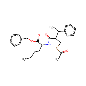 CCCCC(NC(=O)C(CSC(C)=O)C(C)c1ccccc1)C(=O)OCc1ccccc1